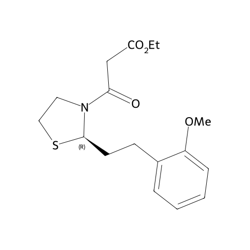 CCOC(=O)CC(=O)N1CCS[C@@H]1CCc1ccccc1OC